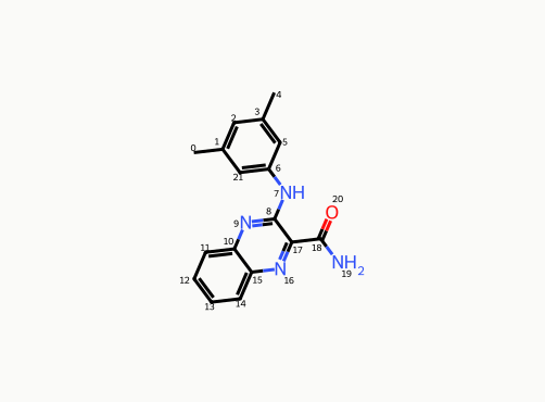 Cc1cc(C)cc(Nc2nc3ccccc3nc2C(N)=O)c1